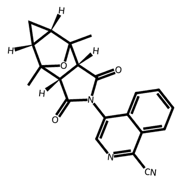 CC12OC(C)([C@@H]3C[C@@H]31)[C@H]1C(=O)N(c3cnc(C#N)c4ccccc34)C(=O)[C@H]12